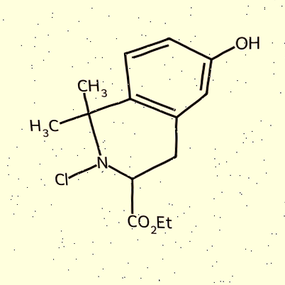 CCOC(=O)C1Cc2cc(O)ccc2C(C)(C)N1Cl